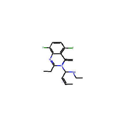 C=C1c2c(F)ccc(F)c2N=C(CC)N1C(/C=C\C)NCC